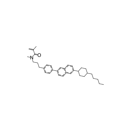 C=C(C)C(=O)N(C)CCCc1ccc(-c2ccc3cc(C4CCC(CCCCC)CC4)ccc3c2)cc1